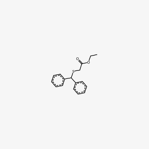 CCOC(=O)CSC(c1ccccc1)c1ccccc1